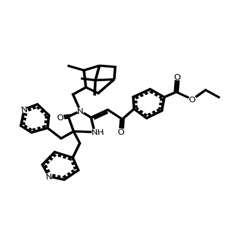 CCOC(=O)c1ccc(C(=O)/C=C2\NC(Cc3ccncc3)(Cc3ccncc3)C(=O)N2CC2CC3CC(C2C)C3(C)C)cc1